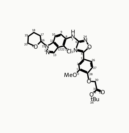 COc1cc(-c2nc(Nc3ccc4c(cnn4C4CCCCO4)c3Cl)no2)ccc1OCC(=O)OC(C)(C)C